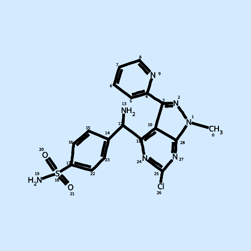 Cn1nc(-c2ccccn2)c2c(C(N)c3ccc(S(N)(=O)=O)cc3)nc(Cl)nc21